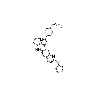 NCC1CCC(c2nc(-c3ccc4ccc(Oc5ccccc5)nc4c3)c3c(N)nccn23)CC1